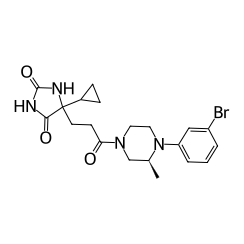 C[C@H]1CN(C(=O)CCC2(C3CC3)NC(=O)NC2=O)CCN1c1cccc(Br)c1